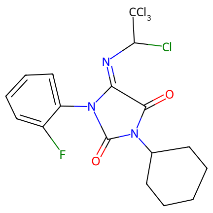 O=C1C(=NC(Cl)C(Cl)(Cl)Cl)N(c2ccccc2F)C(=O)N1C1CCCCC1